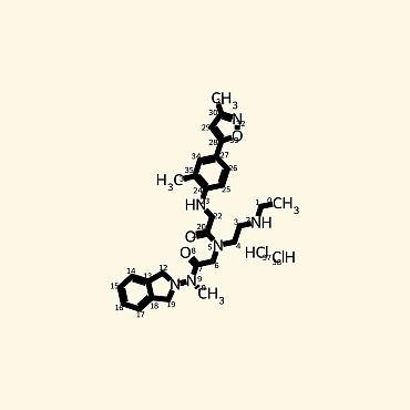 CCNCCN(CC(=O)N(C)N1Cc2ccccc2C1)C(=O)CNc1ccc(-c2cc(C)no2)cc1C.Cl.Cl